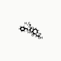 CCOC(=O)[C@H](CCc1ccccc1)N[C@@H]1CCCCN(CC(=O)O)C1=O